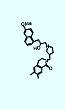 COc1ccc2c(CC(O)CN3CCC(CN4CCc5cc(C)c(C)cc5C4=O)C3)cccc2c1